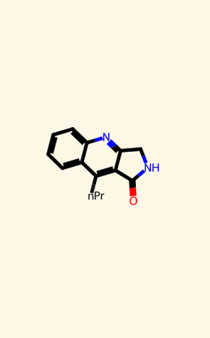 CCCc1c2c(nc3ccccc13)CNC2=O